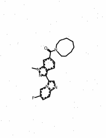 Cn1nc(-c2cnc3ccc(F)cn23)c2ccc(C(=O)N3CCCCCCCC3)cc21